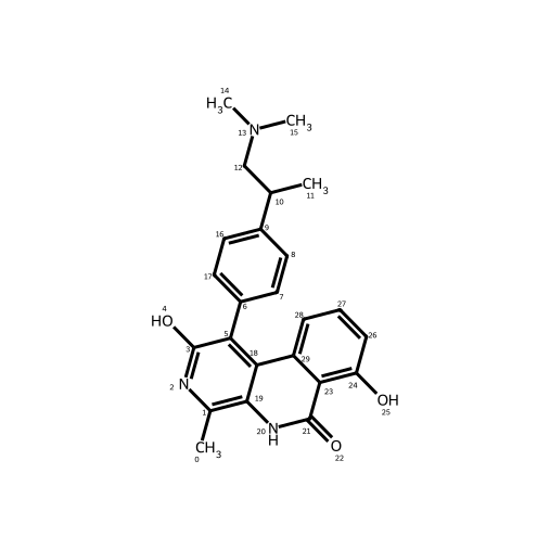 Cc1nc(O)c(-c2ccc(C(C)CN(C)C)cc2)c2c1[nH]c(=O)c1c(O)cccc12